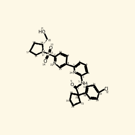 O=C(Nc1cccc(-c2ccc(S(=O)(=O)N3CCC[C@@H]3CO)nc2)n1)C1(c2ccc(Cl)cc2)CCCC1